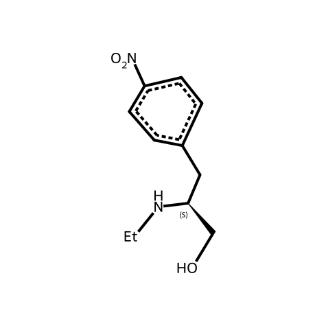 CCN[C@H](CO)Cc1ccc([N+](=O)[O-])cc1